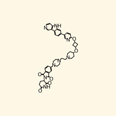 O=C1CCC(N2C(=O)c3ccc(N4CCN(CCN5CCC(OC6CC(Oc7ccc(-c8ccc9c(c8)[nH]c8ccncc89)cn7)C6)CC5)CC4)cc3C2=O)C(=O)N1